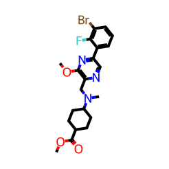 COC(=O)C1CCC(N(C)Cc2ncc(-c3cccc(Br)c3F)nc2OC)CC1